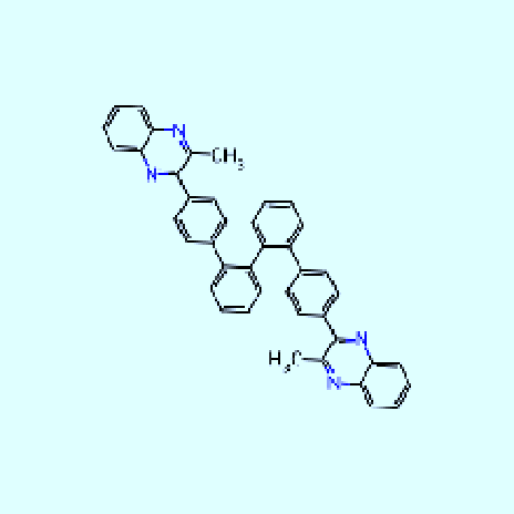 Cc1nc2ccccc2nc1-c1ccc(-c2ccccc2-c2ccccc2-c2ccc(-c3nc4ccccc4nc3C)cc2)cc1